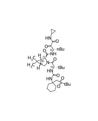 CCCC[C@H](NC(=O)[C@@H]1[C@@H]2[C@H](CN1C(=O)[C@@H](NC(=O)NC1(CS(=O)(=O)C(C)(C)C)CCCCC1)C(C)(C)C)C2(C)C)C(=O)C(=O)NC1CC1